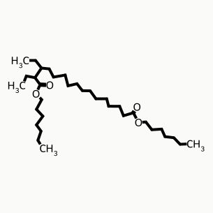 CCCCCCCOC(=O)CCCCCCCCCCCCC(CC)C(CC)C(=O)OCCCCCCC